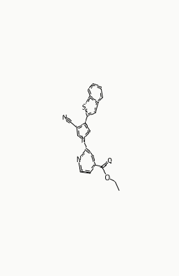 CCOC(=O)c1ccnc(-n2cc(C#N)c(-c3cc4ccccc4s3)c2)c1